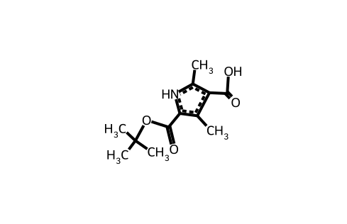 Cc1[nH]c(C(=O)OC(C)(C)C)c(C)c1C(=O)O